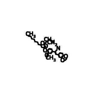 C=C(C)C(=O)OC(CCCCCCCCCC)Oc1ccc(C(C#N)=Cc2ccc3c(c2)OCCO3)cc1OC